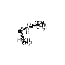 CC(C)NCCSC1CCC1SCCNC(=O)CCCC(=O)C(C)(C)C